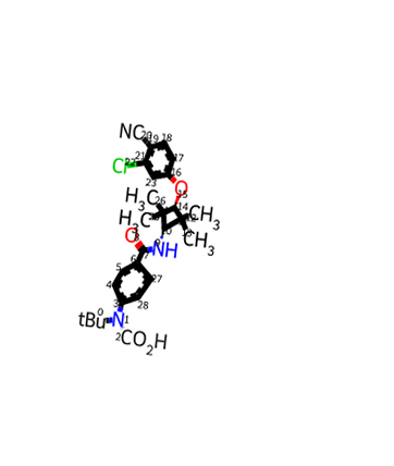 CC(C)(C)N(C(=O)O)c1ccc(C(=O)N[C@H]2C(C)(C)[C@H](Oc3ccc(C#N)c(Cl)c3)C2(C)C)cc1